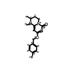 CC1CCn2c(cc(OCc3ccc(F)cc3)nc2=O)N1C